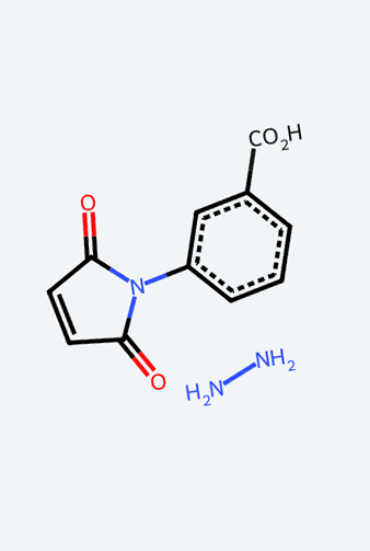 NN.O=C(O)c1cccc(N2C(=O)C=CC2=O)c1